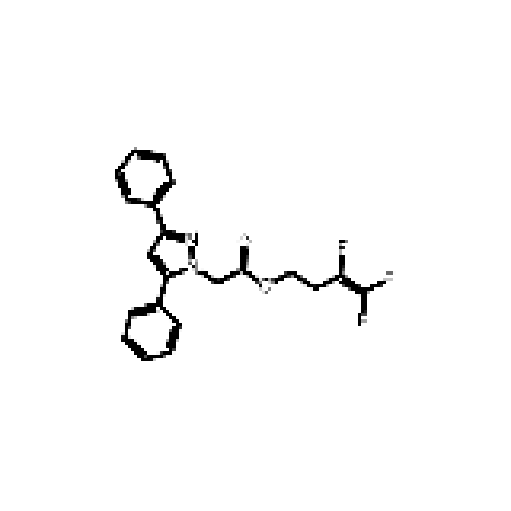 O=C(Cn1nc(-c2ccccc2)cc1-c1ccccc1)OCCC(F)=C(F)F